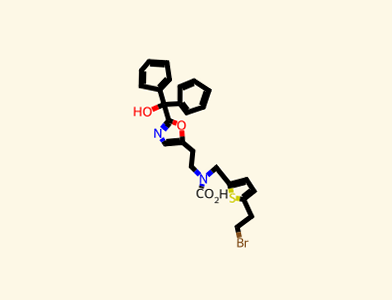 O=C(O)N(CCc1cnc(C(O)(c2ccccc2)c2ccccc2)o1)Cc1ccc(CCBr)s1